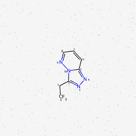 FC(F)(F)Cc1nnc2cc[c]nn12